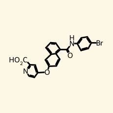 O=C(O)c1cc(Oc2ccc3c(C(=O)Nc4ccc(Br)cc4)cccc3c2)ccn1